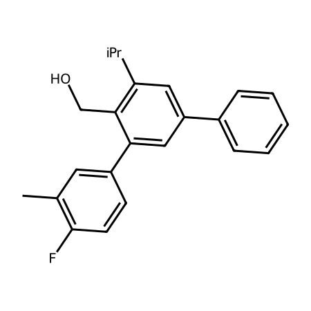 Cc1cc(-c2cc(-c3ccccc3)cc(C(C)C)c2CO)ccc1F